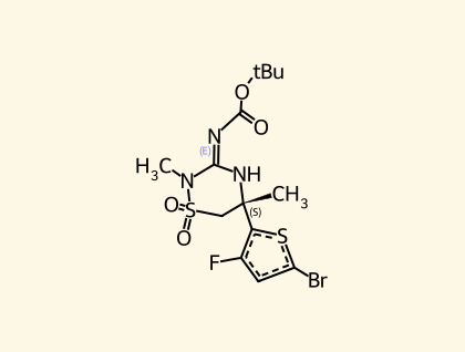 CN1/C(=N/C(=O)OC(C)(C)C)N[C@](C)(c2sc(Br)cc2F)CS1(=O)=O